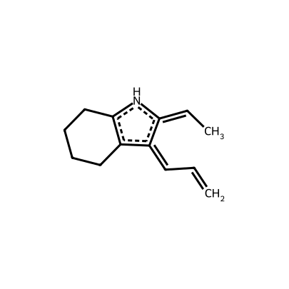 C=C/C=c1/c2c([nH]/c1=C/C)CCCC2